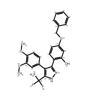 COc1ccc(-c2c(-c3ccc(OCc4ccccc4)cc3O)n[nH]c2C(F)(F)P)cc1OC